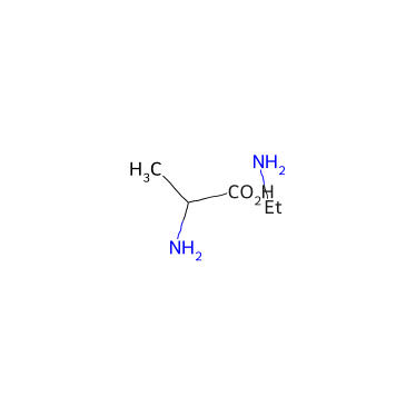 CC(N)C(=O)O.CCN